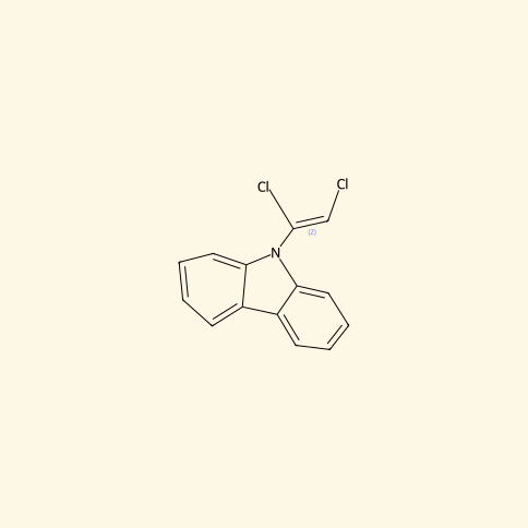 Cl/C=C(\Cl)n1c2ccccc2c2ccccc21